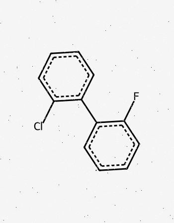 Fc1cc[c]cc1-c1ccccc1Cl